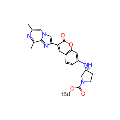 Cc1cn2cc(-c3cc4ccc(N[C@H]5CCN(C(=O)OC(C)(C)C)C5)cc4oc3=O)nc2c(C)n1